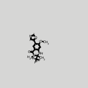 COc1cc2c(cc1-c1cnco1)C(=O)N(C)C(C)(C(F)(F)F)N2